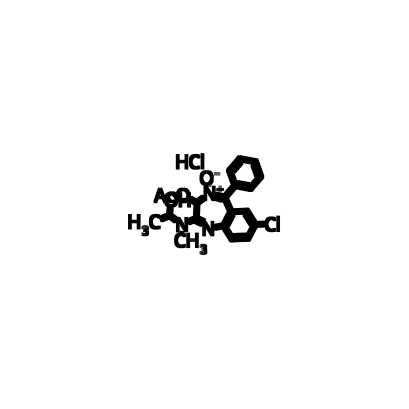 CC(=O)OC1C(N(C)C(C)O)=Nc2ccc(Cl)cc2C(c2ccccc2)=[N+]1[O-].Cl